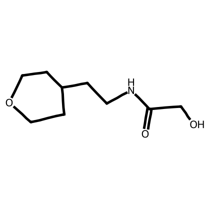 O=C(CO)NCCC1CCOCC1